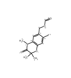 CN1C(=O)C(C)(C)Oc2cc(F)c(COC=O)cc21